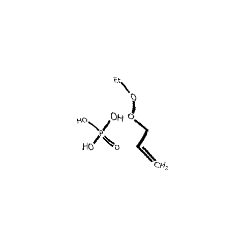 C=CCOOCC.O=P(O)(O)O